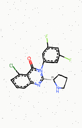 O=c1c2c(Cl)cccc2nc([C@@H]2CCCN2)n1-c1cc(F)cc(F)c1